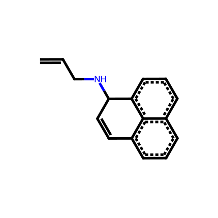 C=CCNC1C=Cc2cccc3cccc1c23